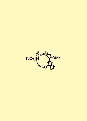 CCN1C(=O)N[C@@H](CCC(F)(F)F)C/C=C\COc2nc(cn3ncnc23)-c2cc(ncc2OC)C1C(F)(F)F